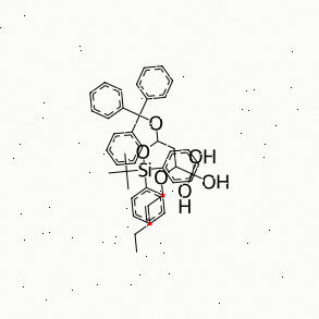 CCC=CCOC(CC(OC(c1ccccc1)(c1ccccc1)c1ccccc1)O[Si](c1ccccc1)(c1ccccc1)C(C)(C)C)C(O)(O)O